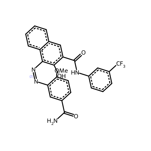 COc1ccc(C(N)=O)cc1/N=N\c1c(O)c(C(=O)Nc2cccc(C(F)(F)F)c2)cc2ccccc12